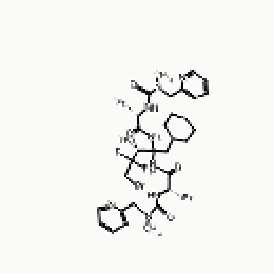 CC(C)CC(F)(F)[C@@H](O)C(CC1CCCCC1)(NC(=O)[C@@H](NC(=O)N(C)Cc1ccccn1)C(C)C)NC(=O)[C@@H](NC(=O)N(C)Cc1ccccn1)C(C)C